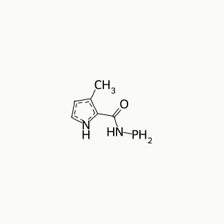 Cc1cc[nH]c1C(=O)NP